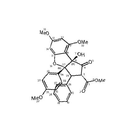 COC(=O)C1C(=O)[C@@]2(O)c3c(OC)cc(OC)cc3O[C@@]2(c2ccc(OC)cc2)C1c1ccccc1